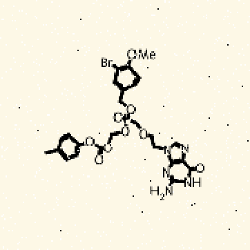 COc1ccc(COP(=O)(COCCn2cnc3c(=O)[nH]c(N)nc32)OCOC(=O)Oc2ccc(C)cc2)cc1Br